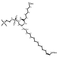 CCCCCC/C=C\CCCCCCCCCCOC[C@H](COP(=O)([O-])OCC[N+](C)(C)C)OC(=O)CCCCCCCCCCCCCCC